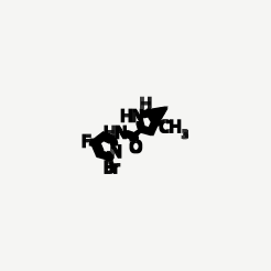 C[C@@]12C[C@@H](C(=O)Nc3cc(F)cc(Br)n3)N[C@@H]1C2